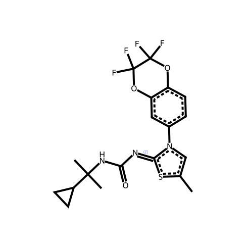 Cc1cn(-c2ccc3c(c2)OC(F)(F)C(F)(F)O3)/c(=N/C(=O)NC(C)(C)C2CC2)s1